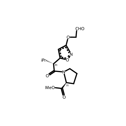 COC(=O)[C@@H]1CCCN1C(=O)[C@@H](c1cc(OCC=O)no1)C(C)C